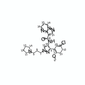 COC1=C(c2nn(CCCN3CCCC3)cc2NC(=O)c2cnn3cccnc23)C=C(Cl)CC1